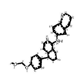 COCOc1ccc(-c2cccc3c(Nc4ccc5ncccc5c4)nccc23)cc1